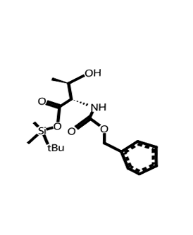 C[C@@H](O)[C@H](NC(=O)OCc1ccccc1)C(=O)O[Si](C)(C)C(C)(C)C